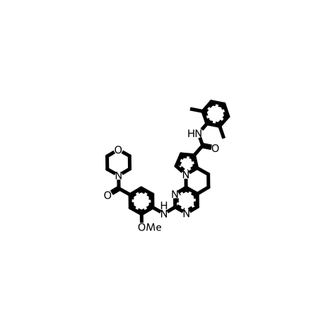 COc1cc(C(=O)N2CCOCC2)ccc1Nc1ncc2c(n1)-n1ccc(C(=O)Nc3c(C)cccc3C)c1CC2